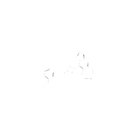 COc1cccc(COC2CN(c3c4c(nc5ccnn35)CCNCC4)C2)c1